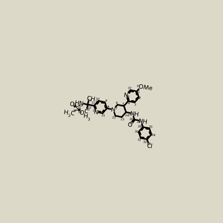 COc1ccc(C2CN(c3ccc(C(C)(C)NS(C)(=O)=O)nc3)CCC2NC(=O)Nc2ccc(Cl)cc2)nc1